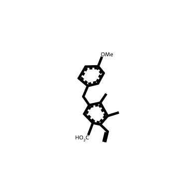 C=Cc1c(C(=O)O)cc(Cc2ccc(OC)cc2)c(C)c1C